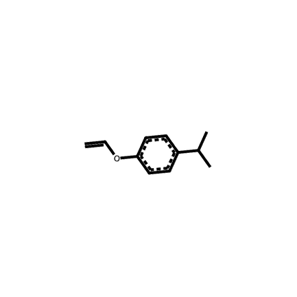 C=COc1ccc(C(C)C)cc1